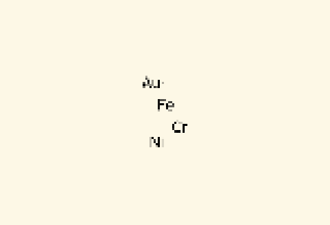 [Au].[Cr].[Fe].[Ni]